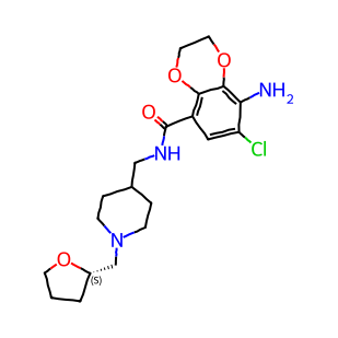 Nc1c(Cl)cc(C(=O)NCC2CCN(C[C@@H]3CCCO3)CC2)c2c1OCCO2